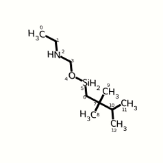 CCNCO[SiH2]CC(C)(C)C(C)C